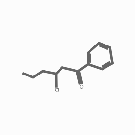 CCCC(Cl)CC(=O)c1ccccc1